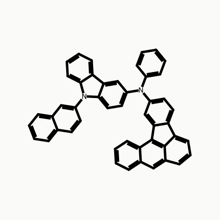 c1ccc(N(c2ccc3c(c2)-c2c4ccccc4cc4cccc-3c24)c2ccc3c(c2)c2ccccc2n3-c2ccc3ccccc3c2)cc1